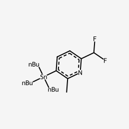 CCC[CH2][Sn]([CH2]CCC)([CH2]CCC)[c]1ccc(C(F)F)nc1C